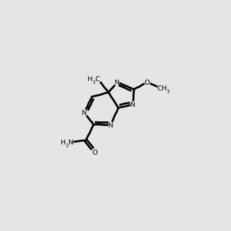 COC1=NC2(C)C=NC(C(N)=O)=NC2=N1